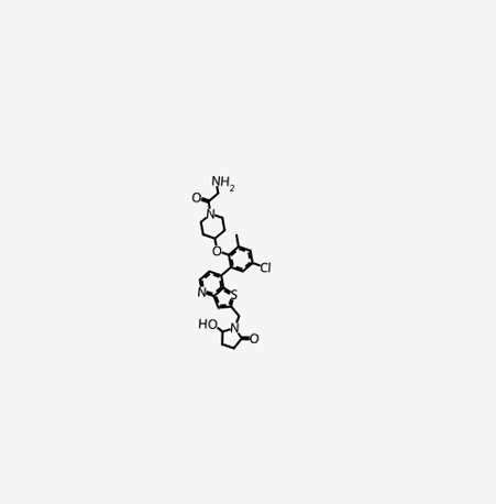 Cc1cc(Cl)cc(-c2ccnc3cc(CN4C(=O)CCC4O)sc23)c1OC1CCN(C(=O)CN)CC1